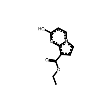 CCOC(=O)c1ccn2ccc(O)nc12